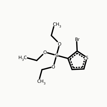 CCO[Si](OCC)(OCC)c1ccsc1Br